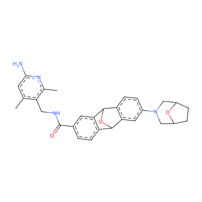 Cc1cc(N)nc(C)c1CNC(=O)c1ccc2c(c1)C1OC2c2cc(N3CC4CCC(C3)O4)ccc21